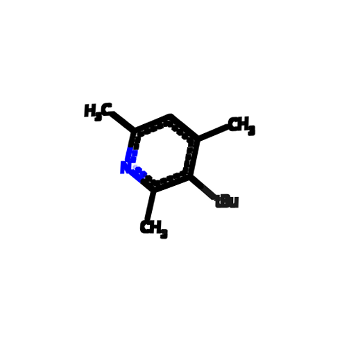 Cc1cc(C)c(C(C)(C)C)c(C)n1